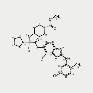 COC(=O)[C@H]1CC[C@H](OC(F)(C(=O)Cc2ccc3nc(Nc4cc(Cl)ccc4C)oc3c2F)N2CCCC2)CC1